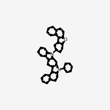 c1ccc(-n2c3cc4c(cc3c3c5ccccc5ccc32)c2ccccc2n4-c2ccc3oc4ccc5ccccc5c4c3c2)cc1